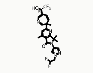 Cc1cc(C2(C)C=CC([C@@H](O)C(F)(F)F)=CN=C2)nc2c1C(=O)N(c1cnn(CC(F)F)c1)C2(C)C